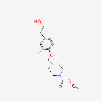 CC(C)(C)OC(=O)N1CCC(COc2ccc(CCO)cc2F)CC1